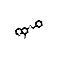 Fc1cc(OCc2ccccc2)cc2cccnc12